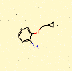 Nc1cc[c]cc1OCC1CC1